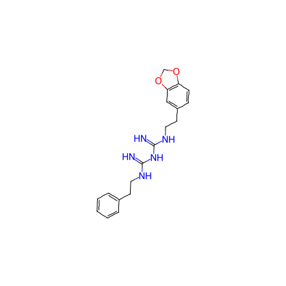 N=C(NCCc1ccccc1)NC(=N)NCCc1ccc2c(c1)OCO2